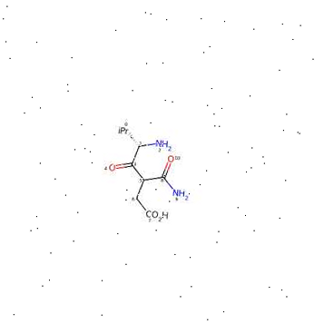 CC(C)[C@H](N)C(=O)C(CC(=O)O)C(N)=O